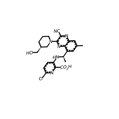 Cc1cc([C@@H](C)Nc2ccc(Cl)nc2C(=O)O)c2nc(N3CCC[C@H](CO)C3)c(C#N)nc2c1